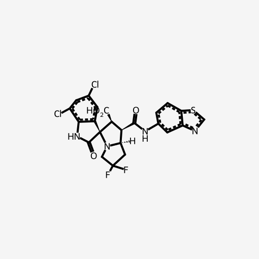 O=C(Nc1ccc2scnc2c1)[C@H]1[C@H]2CC(F)(F)CN2[C@]2(C(=O)Nc3c(Cl)cc(Cl)cc32)[C@H]1C(=O)O